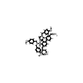 COc1ccc(CN(Cc2ccc(OC)cc2)S(=O)(=O)c2c(CC3CCNCC3)ccc(-c3ccc(CN)cc3)c2-c2nnn(Cc3ccc(OC)cc3)n2)cc1